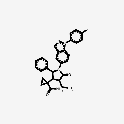 CCC1C(=O)N(c2ccc3c(cnn3-c3ccc(F)cc3)c2)C(c2ccccc2)C1C1(C(N)=O)CC1